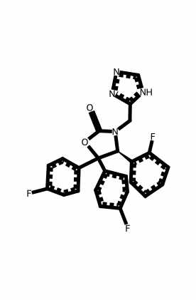 O=C1OC(c2ccc(F)cc2)(c2ccc(F)cc2)[C@H](c2ccccc2F)N1Cc1nnc[nH]1